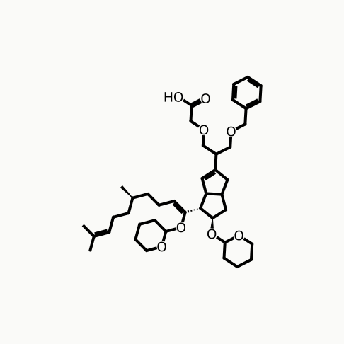 CC(C)=CCC[C@@H](C)CCC=C(OC1CCCCO1)[C@@H]1C2C=C(C(COCC(=O)O)COCc3ccccc3)CC2C[C@H]1OC1CCCCO1